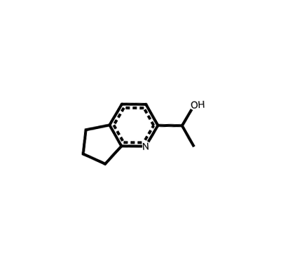 CC(O)c1ccc2c(n1)CCC2